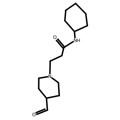 O=CC1CCN(CCC(=O)NC2CCCCC2)CC1